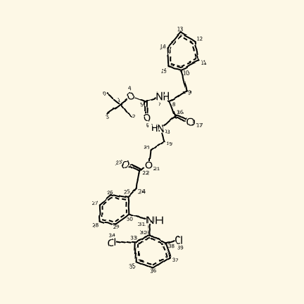 CC(C)(C)OC(=O)NC(Cc1ccccc1)C(=O)NCCOC(=O)Cc1ccccc1Nc1c(Cl)cccc1Cl